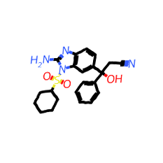 N#CCC(O)(c1ccccc1)c1ccc2nc(N)n(S(=O)(=O)C3CCCCC3)c2c1